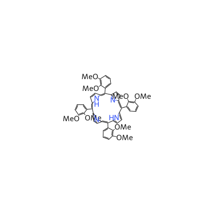 COc1cccc(-c2c3nc(c(-c4cccc(OC)c4OC)c4ccc([nH]4)c(-c4cccc(OC)c4OC)c4nc(c(-c5cccc(OC)c5OC)c5ccc2[nH]5)C=C4)C=C3)c1OC